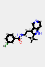 C[Si](C)(C)c1[nH]c2ccncc2c1CCNC(=O)c1cccc(F)c1